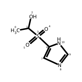 CC(O)S(=O)(=O)c1cnc[nH]1